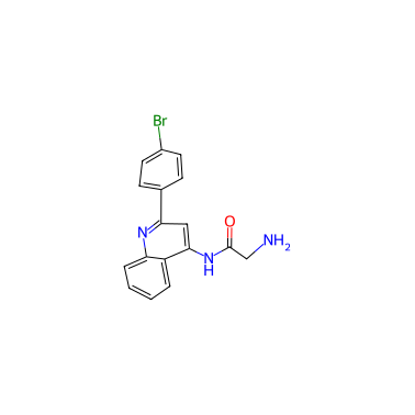 NCC(=O)Nc1cc(-c2ccc(Br)cc2)nc2ccccc12